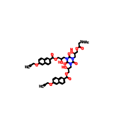 C#CCOc1ccc2cc(C(=O)OCC(O)Cn3c(=O)n(CC(O)COC(=O)CNC(C)=O)c(=O)n(CC(O)COC(=O)c4ccc5cc(OCC#C)ccc5c4)c3=O)ccc2c1